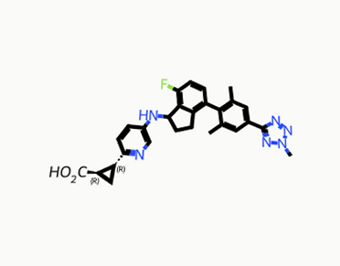 Cc1cc(-c2nnn(C)n2)cc(C)c1-c1ccc(F)c2c1CCC2Nc1ccc([C@@H]2C[C@H]2C(=O)O)nc1